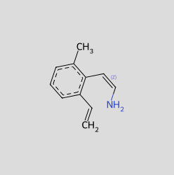 C=Cc1cccc(C)c1/C=C\N